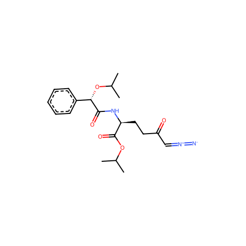 CC(C)OC(=O)[C@H](CCC(=O)C=[N+]=[N-])NC(=O)[C@@H](OC(C)C)c1ccccc1